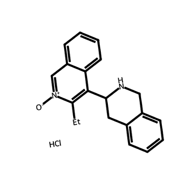 CCc1c(C2Cc3ccccc3CN2)c2ccccc2c[n+]1[O-].Cl